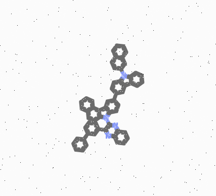 c1ccc(-c2cccc(-c3nc4ccccc4nc3-n3c4ccc(-c5ccc6c(c5)c5ccccc5n6-c5ccc6ccccc6c5)cc4c4c5ccccc5ccc43)c2)cc1